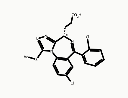 CC(=O)Sc1nnc2n1-c1ccc(Cl)cc1C(c1ccccc1Cl)=N[C@H]2CCC(=O)O